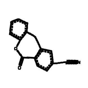 N#Cc1ccc2c(c1)Cc1ccccc1OC2=O